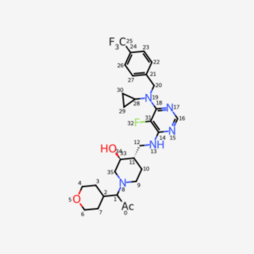 CC(=O)C(C1CCOCC1)N1CC[C@@H](CNc2ncnc(N(Cc3ccc(C(F)(F)F)cc3)C3CC3)c2F)[C@H](O)C1